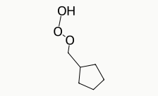 OOOCC1CCCC1